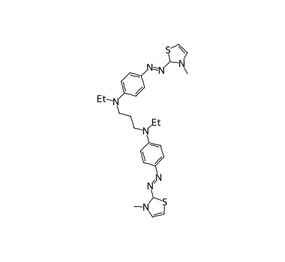 CCN(CCCN(CC)c1ccc(N=NC2SC=CN2C)cc1)c1ccc(N=NC2SC=CN2C)cc1